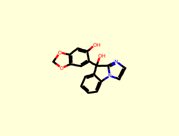 Oc1cc2c(cc1C1(O)c3ccccc3-n3ccnc31)OCO2